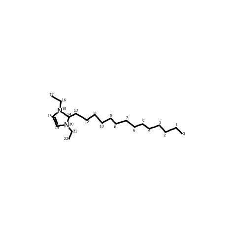 CCCCCCCCCCCCCCC1N(CC)C=CN1CC